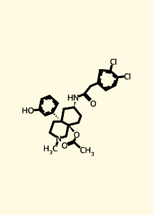 CC(=O)O[C@]12CC[C@@H](NC(=O)Cc3ccc(Cl)c(Cl)c3)C[C@]1(c1cccc(O)c1)CCN(C)C2